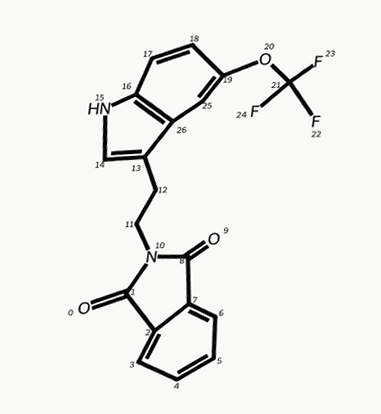 O=C1c2ccccc2C(=O)N1CCc1c[nH]c2ccc(OC(F)(F)F)cc12